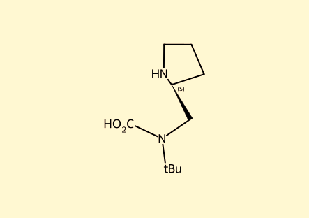 CC(C)(C)N(C[C@@H]1CCCN1)C(=O)O